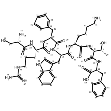 C[C@@H](O)[C@H](NC(=O)[C@H](CCCCN)NC(=O)[C@@H](Cc1c[nH]c2ccccc12)NC(=O)[C@H](Cc1ccccc1)NC(=O)[C@H](CCCNC(=N)N)NC(=O)[C@@H](N)CS)C(=O)N[C@@H](Cc1ccccc1)C(=O)O